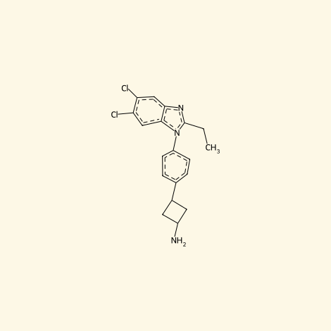 CCc1nc2cc(Cl)c(Cl)cc2n1-c1ccc(C2CC(N)C2)cc1